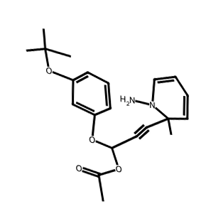 CC(=O)OC(C#CC1(C)C=CC=CN1N)Oc1cccc(OC(C)(C)C)c1